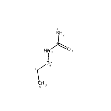 CC[Te]NC(N)=O